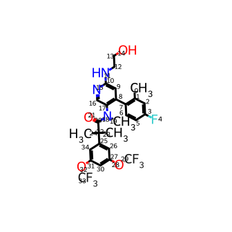 Cc1cc(F)ccc1-c1cc(NCCO)ncc1N(C)C(=O)C(C)(C)c1cc(OC(F)(F)F)cc(OC(F)(F)F)c1